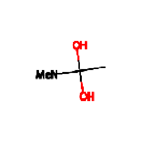 CNC(C)(O)O